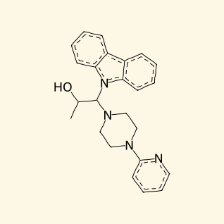 CC(O)C(N1CCN(c2ccccn2)CC1)n1c2ccccc2c2ccccc21